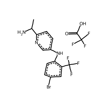 CC(N)c1ccc(Nc2ccc(Br)cc2C(F)(F)F)cn1.O=C(O)C(F)(F)F